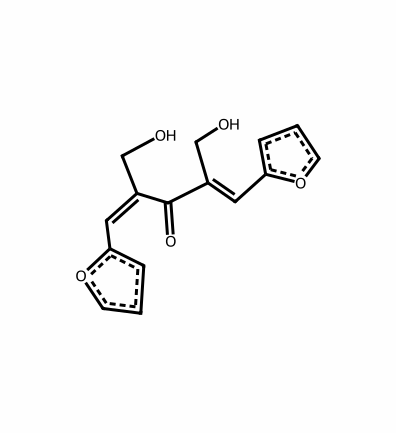 O=C(C(=Cc1ccco1)CO)C(=Cc1ccco1)CO